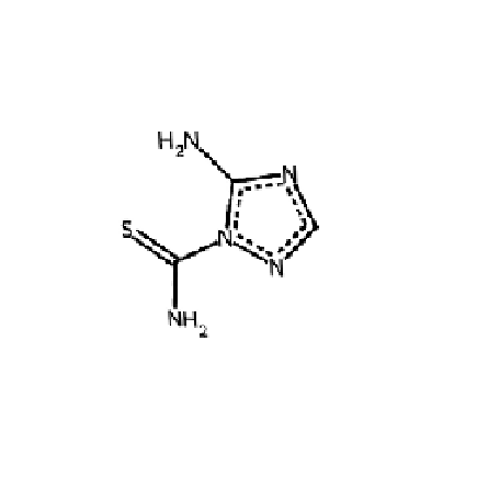 NC(=S)n1ncnc1N